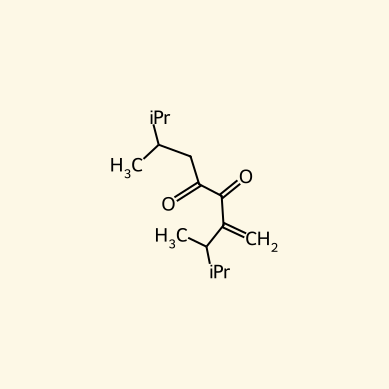 C=C(C(=O)C(=O)CC(C)C(C)C)C(C)C(C)C